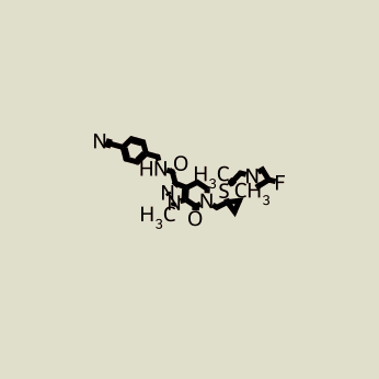 Cn1nc(C(=O)NCc2ccc(C#N)cc2)c2c1C(=O)N(CC1(SC(C)(C)CN3CC(F)C3)CC1)CC2